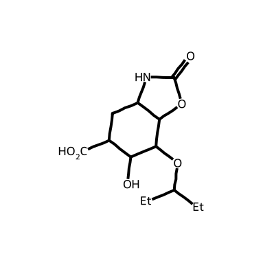 CCC(CC)OC1C(O)C(C(=O)O)CC2NC(=O)OC21